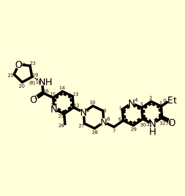 CCc1cc2ncc(CN3CCN(c4ccc(C(=O)N[C@@H]5CCOC5)nc4C)CC3)cc2[nH]c1=O